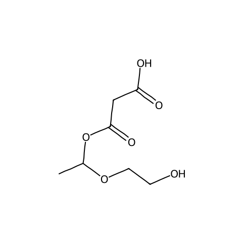 CC(OCCO)OC(=O)CC(=O)O